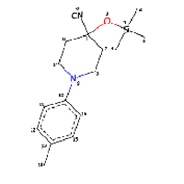 [C-]#[N+]C1(O[Si](C)(C)C)CCN(c2ccc(C)cc2)CC1